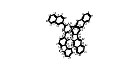 c1ccc2cc(-c3nc(-c4ccc5ccccc5c4)nc(-c4ccc5oc6ccccc6c5c4-n4c5ccccc5c5cc6ccccc6cc54)n3)ccc2c1